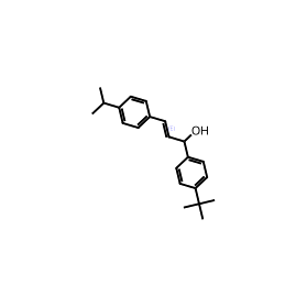 CC(C)c1ccc(/C=C/C(O)c2ccc(C(C)(C)C)cc2)cc1